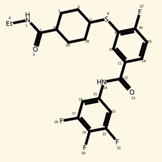 CCNC(=O)C1CCC(Sc2cc(C(=O)Nc3cc(F)c(F)c(F)c3)ccc2F)CC1